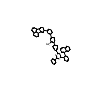 N#Cc1cc(-c2cccc(-c3ccc4c(c3)-c3cccc5cccc-4c35)c2)ccc1-c1ccc(-c2nc(-c3ccccc3)nc(-c3ccccc3-c3cccc4ccccc34)n2)cc1